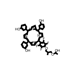 CC(COc1c(F)c(F)c(-c2c3nc(c(-c4cccc(O)c4)c4ccc([nH]4)c(-c4cccc(O)c4)c4nc(c(-c5cccc(O)c5)c5ccc2[nH]5)C=C4)C=C3)c(F)c1F)COC(C)O